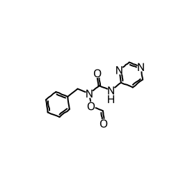 O=CON(Cc1ccccc1)C(=O)Nc1ccncn1